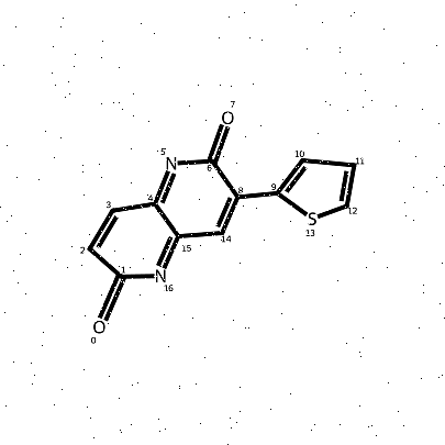 O=C1C=CC2=NC(=O)C(c3cccs3)=CC2=N1